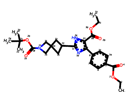 CCOC(=O)c1ccc(-c2nc(C3CC4(C3)CN(C(=O)OC(C)(C)C)C4)[nH]c2C(=O)OCC)cc1